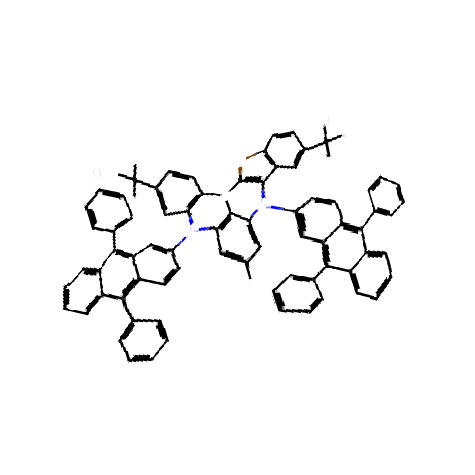 Cc1cc2c3c(c1)N(c1ccc4c(-c5ccccc5)c5ccccc5c(-c5ccccc5)c4c1)c1c(sc4ccc(C(C)(C)C)cc14)B3c1ccc(C(C)(C)C)cc1N2c1ccc2c(-c3ccccc3)c3ccccc3c(-c3ccccc3)c2c1